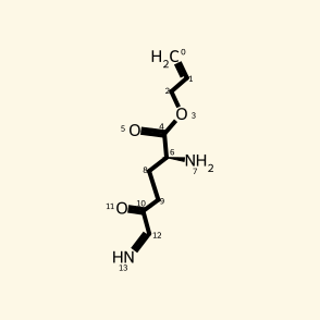 C=CCOC(=O)[C@@H](N)CCC(=O)C=N